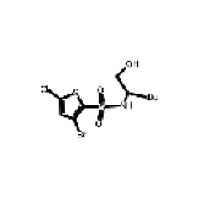 CCC(C)C(CO)NS(=O)(=O)c1sc(Cl)cc1Br